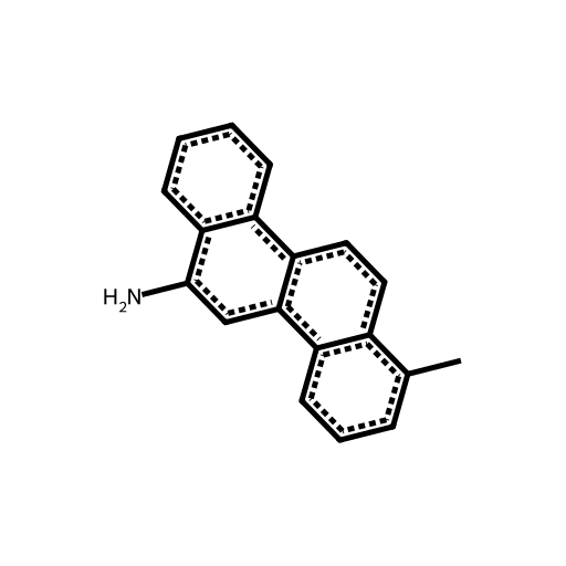 Cc1cccc2c1ccc1c3ccccc3c(N)cc21